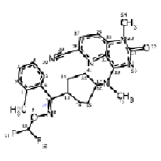 Cc1ccccc1/C(=N\OC(F)F)C1CCC(N(C)c2nc(=O)n(C)c3ccc(C#N)nc23)CC1